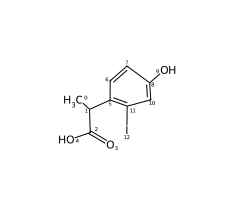 CC(C(=O)O)c1ccc(O)cc1I